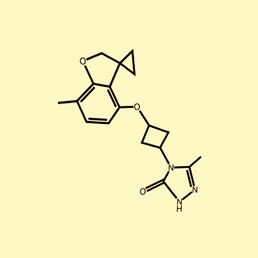 Cc1ccc(OC2CC(n3c(C)n[nH]c3=O)C2)c2c1OCC21CC1